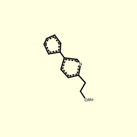 COCCc1ccc(-c2ccccc2)cn1